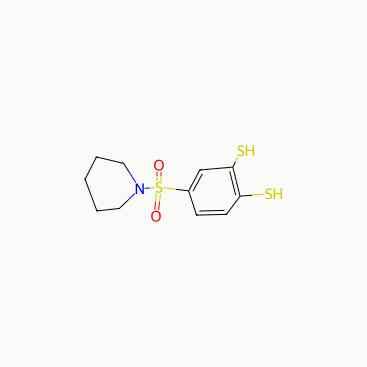 O=S(=O)(c1ccc(S)c(S)c1)N1CCCCC1